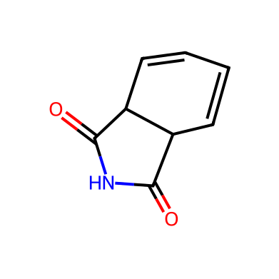 O=C1NC(=O)C2C=CC=CC12